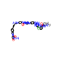 CNC(=O)c1ccccc1Nc1nc(Nc2ccc(N3CCN(C(=O)N[C@H]4CC[C@@H](NCCC#Cc5ccc6c(c5)CN(C5CCC(=O)NC5=O)C6)CC4)CC3)cc2)ncc1Cl